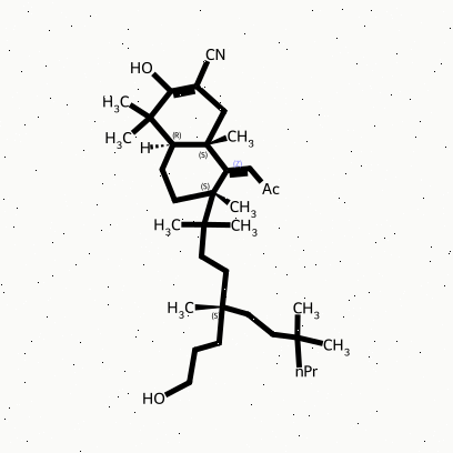 CCCC(C)(C)CC[C@](C)(CCCO)CCC(C)(C)[C@]1(C)CC[C@H]2C(C)(C)C(O)=C(C#N)C[C@]2(C)/C1=C/C(C)=O